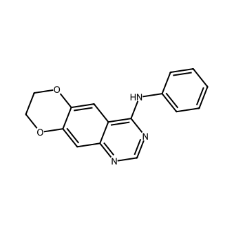 c1ccc(Nc2ncnc3cc4c(cc23)OCCO4)cc1